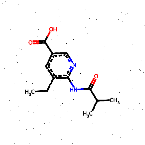 CCc1cc(C(=O)O)cnc1NC(=O)C(C)C